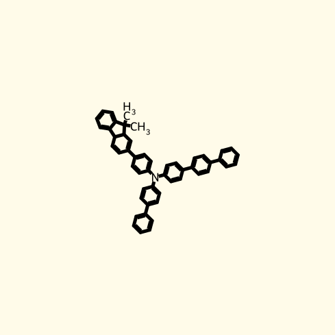 CC1(C)c2ccccc2C2C=CC(c3ccc(N(c4ccc(-c5ccccc5)cc4)c4ccc(-c5ccc(-c6ccccc6)cc5)cc4)cc3)=CC21